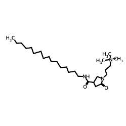 CCCCCCCCCCCCCCCCNC(=O)C1CC(=O)N(CCC[N+](C)(C)C)C1